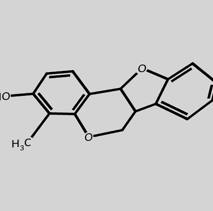 Cc1c(O)ccc2c1OCC1c3ccccc3OC21